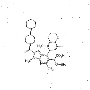 Cc1nc2c(cc(C(=O)N3CCC(N4CCCCC4)CC3)n2C)c(-c2cc(F)c3c(c2C)CCCO3)c1[C@H](OC(C)(C)C)C(=O)O